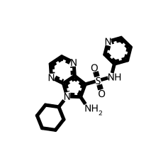 Nc1c(S(=O)(=O)Nc2cccnc2)c2nccnc2n1C1CCCCC1